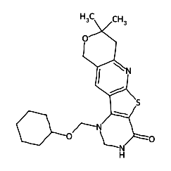 CC1(C)Cc2nc3sc4c(c3cc2CO1)N(COC1CCCCC1)CNC4=O